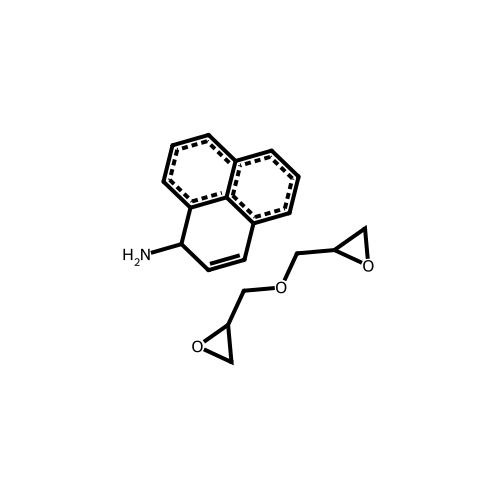 C(OCC1CO1)C1CO1.NC1C=Cc2cccc3cccc1c23